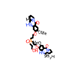 COc1cc2c(cc1OCCCP(=O)(CCCO)CCCOc1cc3c(cc1OC)C(=O)N1CCC[C@H]1C(S(=O)(=O)O)N3)NC[C@@H]1CCCN1C2=O